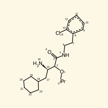 CC(C)OC(C(=O)NCCc1ccccc1Cl)[C@H](N)CC1CCCCC1